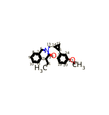 CCCC(=O)N(Cc1ccccc1)C[C@@H]1C[C@H]1c1cccc(OC)c1